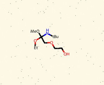 CCOC(COCCO)(NC(C)(C)C)OC